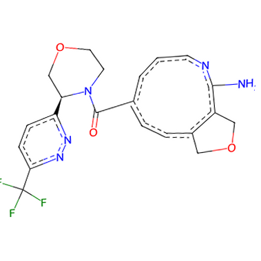 Nc1ncccc(C(=O)N2CCOC[C@@H]2c2ccc(C(F)(F)F)nn2)ccc2c1COC2